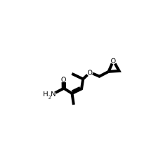 CC(=CC(C)OCC1CO1)C(N)=O